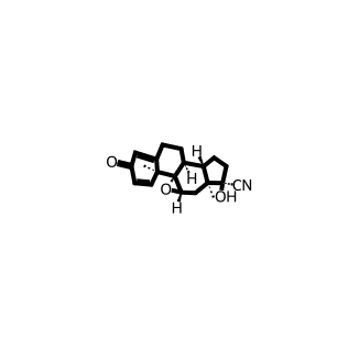 C[C@]12C=CC(=O)C=C1CC[C@H]1[C@@H]3CC[C@](O)(C#N)[C@@]3(C)C[C@@H]3O[C@@]312